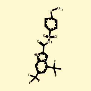 COc1ccc(S(=O)(=O)NC(=O)c2cc3c(C(F)(F)F)cc(C(F)(F)F)cc3[nH]2)cc1